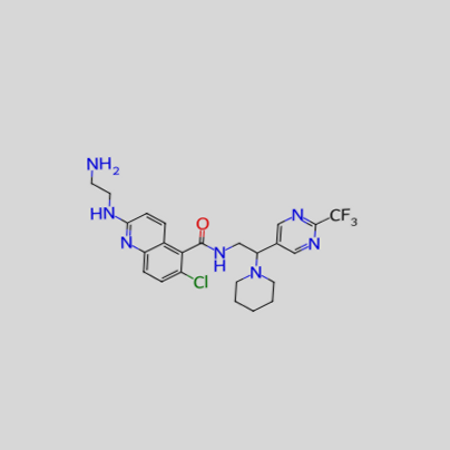 NCCNc1ccc2c(C(=O)NCC(c3cnc(C(F)(F)F)nc3)N3CCCCC3)c(Cl)ccc2n1